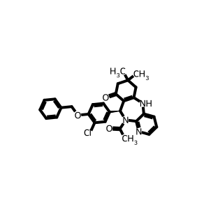 CC(=O)N1c2ncccc2NC2=C(C(=O)CC(C)(C)C2)[C@@H]1c1ccc(OCc2ccccc2)c(Cl)c1